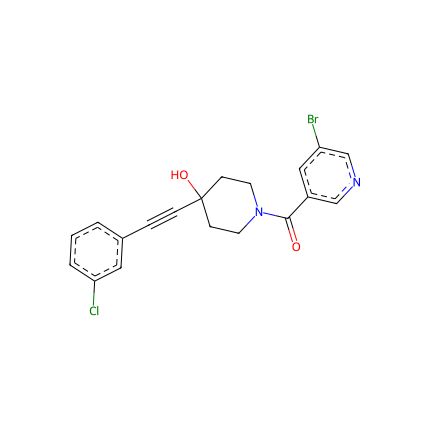 O=C(c1cncc(Br)c1)N1CCC(O)(C#Cc2cccc(Cl)c2)CC1